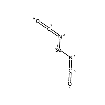 O=C=N[Se]N=C=O